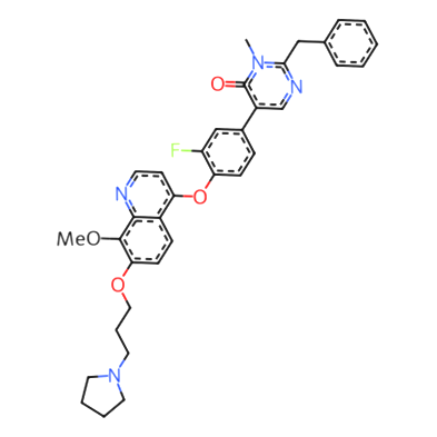 COc1c(OCCCN2CCCC2)ccc2c(Oc3ccc(-c4cnc(Cc5ccccc5)n(C)c4=O)cc3F)ccnc12